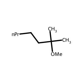 CCCCCC(C)(C)OC